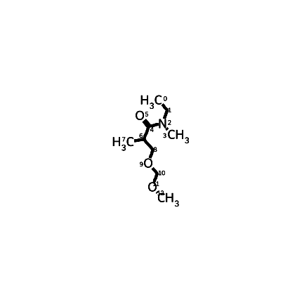 CCN(C)C(=O)C(C)COCOC